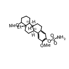 CC[C@]12CC[C@@H]3c4cc(OC)c(OS(N)(=O)=O)cc4CC[C@H]3[C@@H]1CCCC2OC